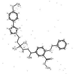 COC(=O)c1cc(C(O)CNC(C)(C)CCn2cnc(-c3ccc(OC)cc3)n2)ccc1OCc1ccccc1